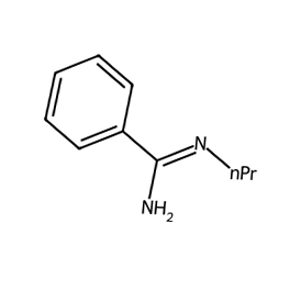 CCCN=C(N)c1ccccc1